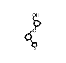 OCc1cccc(OCc2cccc(-c3ccsc3)c2)c1